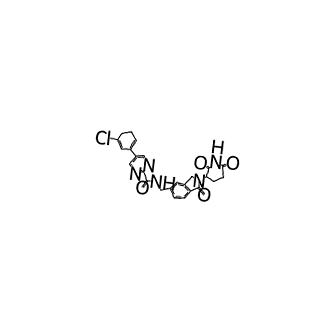 O=C1CCC(N2Cc3cc(CNC(=O)c4ncc(C5=CCCC(Cl)=C5)cn4)ccc3C2=O)C(=O)N1